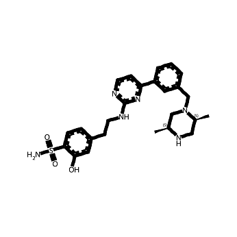 C[C@H]1CN(Cc2cccc(-c3ccnc(NCCc4ccc(S(N)(=O)=O)c(O)c4)n3)c2)[C@@H](C)CN1